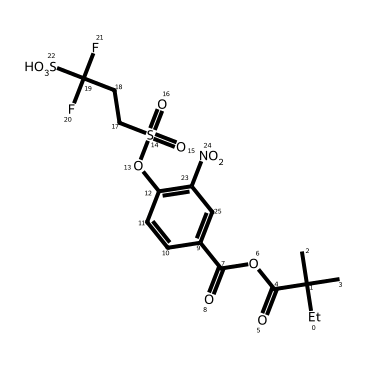 CCC(C)(C)C(=O)OC(=O)c1ccc(OS(=O)(=O)CCC(F)(F)S(=O)(=O)O)c([N+](=O)[O-])c1